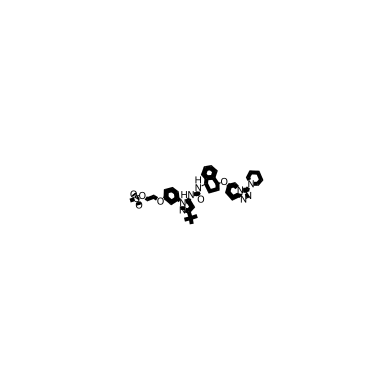 CC(C)(C)c1cc(NC(=O)N[C@H]2CC[C@@H](Oc3ccc4nnc(N5CCCCC5)n4c3)c3ccccc32)n(-c2cccc(OCCOS(C)(=O)=O)c2)n1